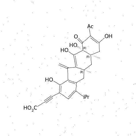 C=C1C2=C(O)[C@@]3(O)C(=O)C(C(C)=O)=C(O)C[C@@]3(C)C[C@@]2(C)Cc2c(C(C)C)cc(C#CC(=O)O)c(O)c21